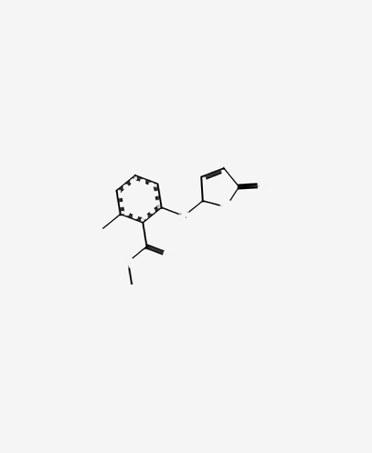 CSC(=O)c1c(C)cccc1NC1C=CC(=O)O1